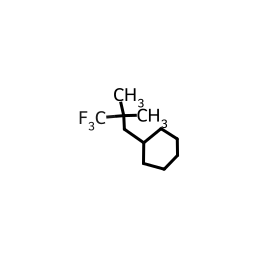 CC(C)(CC1CCCCC1)C(F)(F)F